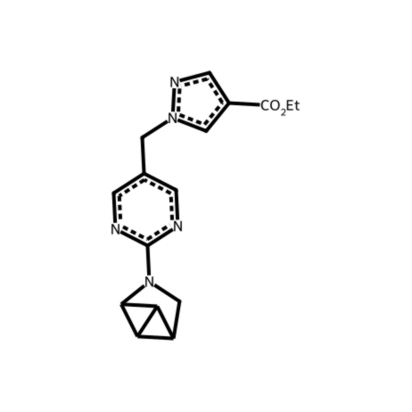 CCOC(=O)c1cnn(Cc2cnc(N3CC4C5C4C53)nc2)c1